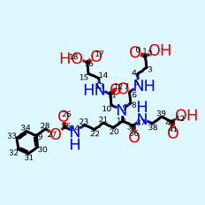 O=C(O)CCNC(=O)CN(CC(=O)NCCC(=O)O)C(CCCCNC(=O)OCc1ccccc1)C(=O)NCCC(=O)O